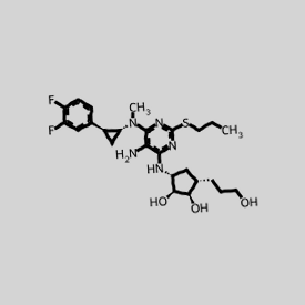 CCCSc1nc(N[C@@H]2C[C@H](CCCO)[C@@H](O)[C@H]2O)c(N)c(N(C)[C@@H]2C[C@H]2c2ccc(F)c(F)c2)n1